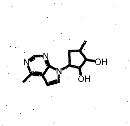 Cc1ncnc2c1ccn2C1CC(C)C(O)C1O